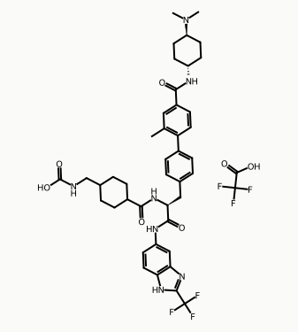 Cc1cc(C(=O)N[C@H]2CC[C@H](N(C)C)CC2)ccc1-c1ccc(C[C@H](NC(=O)C2CCC(CNC(=O)O)CC2)C(=O)Nc2ccc3[nH]c(C(F)(F)F)nc3c2)cc1.O=C(O)C(F)(F)F